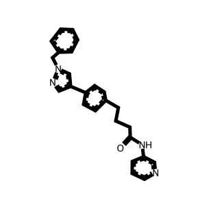 O=C(CCCc1ccc(-c2cnn(Cc3ccccc3)c2)cc1)Nc1cccnc1